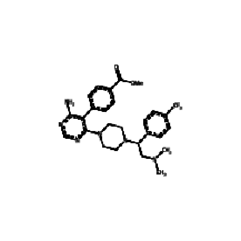 COC(=O)c1ccc(-c2c(N)ncnc2N2CCN(C(CN(C)C)c3ccc(C(F)(F)F)cc3)CC2)cc1